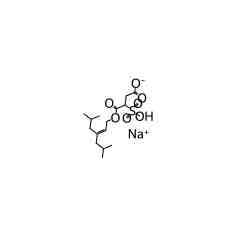 CC(C)CC(=CCOC(=O)C(CC(=O)[O-])S(=O)(=O)O)CC(C)C.[Na+]